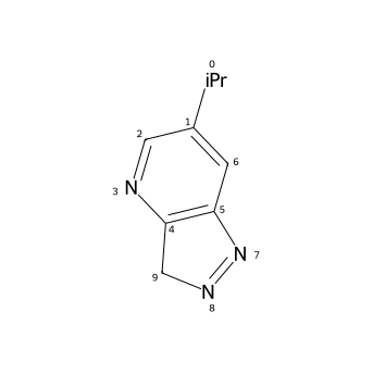 CC(C)c1cnc2c(c1)N=NC2